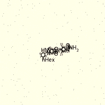 C=C1NC([C@H]2CCC[C@@H](CCCCCC)C2)=NC12CCN(S(=O)(=O)CCc1c(C)cc(N(C)C(N)=O)cc1C)CC2